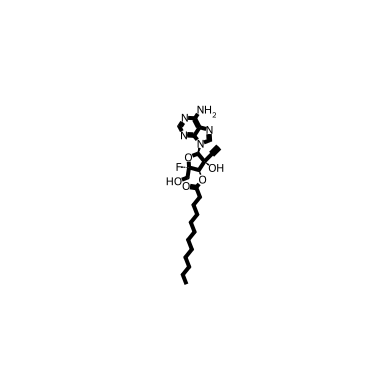 C#C[C@]1(O)[C@H](n2cnc3c(N)ncnc32)O[C@](F)(CO)[C@H]1OC(=O)CCCCCCCCCCC